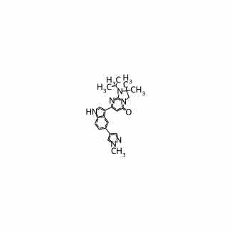 CC(C)N1c2nc(-c3c[nH]c4ccc(-c5cnn(C)c5)cc34)cc(=O)n2CC1(C)C